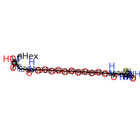 CCCCCC/C=C/[C@H]1[C@H](O)CC(=O)[C@@H]1C/C=C\CCCC(=O)NCCOCCOCCOCCOCCOCCOCCOCCOCCOCCOCCOCCNC(=O)CCCCC1SCC2NC(=O)N[C@@H]21